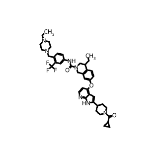 CCC1CN(C(=O)Nc2ccc(CN3CCN(CC)CC3)c(C(F)(F)F)c2)Cc2cc(Oc3ccnc4[nH]c(C5CCN(C(=O)C6CC6)CC5)cc34)ccc21